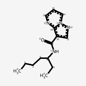 CCCCC(CC)NC(=O)c1cnn2cccnc12